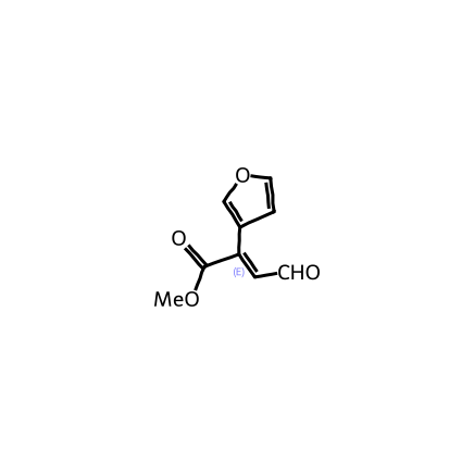 COC(=O)/C(=C/C=O)c1ccoc1